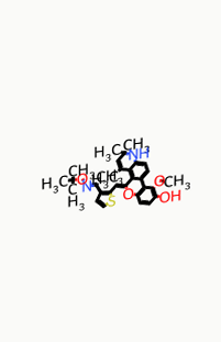 COc1c(O)ccc2c1-c1ccc3c(c1/C(=C/c1sccc1/C(C)=N/OC(C)(C)C)O2)C(C)=CC(C)(C)N3